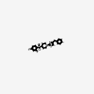 O=S(=O)(c1ccc(F)cc1F)C1CCN(c2nc(Cc3ccccc3)cs2)CC1